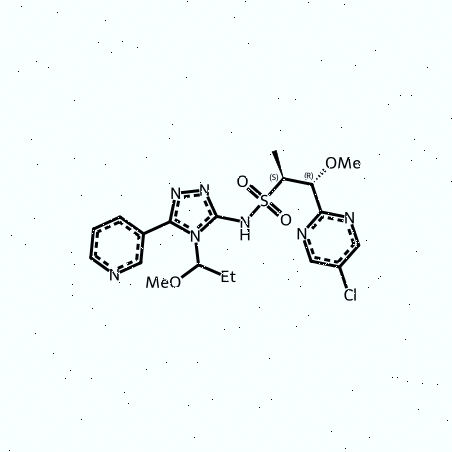 CCC(OC)n1c(NS(=O)(=O)[C@@H](C)[C@H](OC)c2ncc(Cl)cn2)nnc1-c1cccnc1